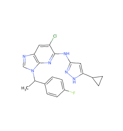 CC(c1ccc(F)cc1)n1cnc2cc(Cl)c(Nc3cc(C4CC4)[nH]n3)nc21